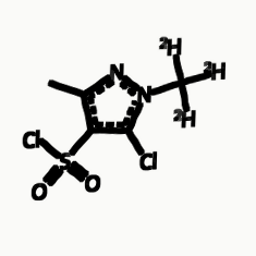 [2H]C([2H])([2H])n1nc(C)c(S(=O)(=O)Cl)c1Cl